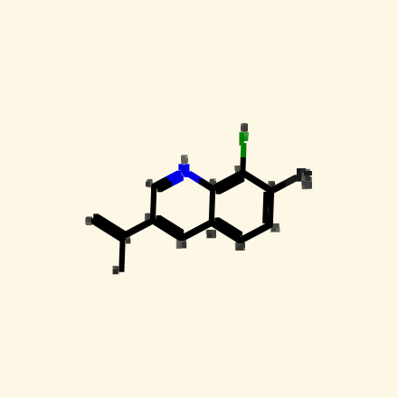 C=C(C)c1cnc2c(F)c(CC)ccc2c1